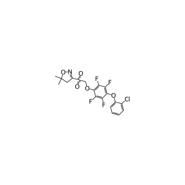 CC1(C)CC(S(=O)(=O)COc2c(F)c(F)c(Oc3ccccc3Cl)c(F)c2F)=NO1